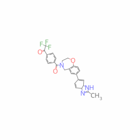 CC1=NC2C=CC(c3ccc4c(c3)CN(C(=O)c3ccc(C(=O)C(F)(F)F)cc3)CCO4)=CC2N1